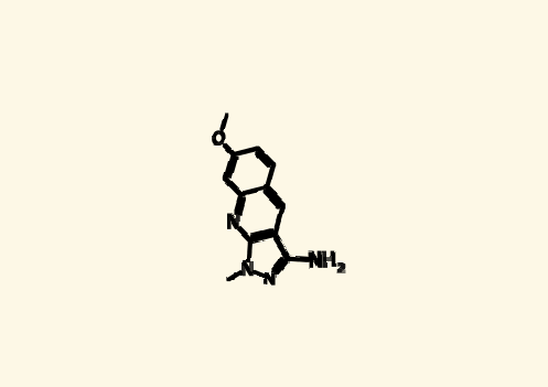 COc1ccc2cc3c(N)nn(C)c3nc2c1